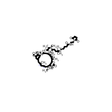 COc1cc2cc(c1Cl)N(C)C(=O)CC(OC(=O)[C@H](C)N(C)C(=O)CCC(C)(C)SSCCCC(=O)NCCN1C(=O)C=CC1=O)[C@@]1(C)O[C@@H]1C(C)C1CC(O)(NC(=O)O1)C(OC)/C=C/C=C(\C)C2